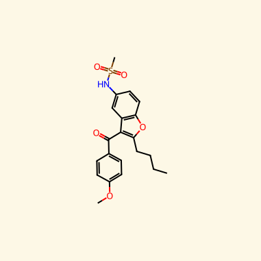 CCCCc1oc2ccc(NS(C)(=O)=O)cc2c1C(=O)c1ccc(OC)cc1